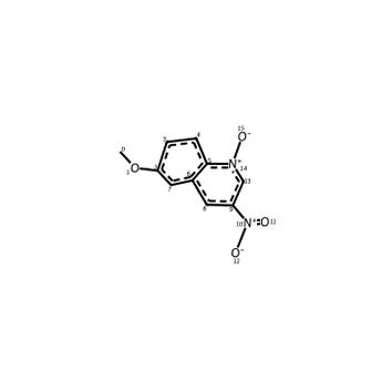 COc1ccc2c(c1)cc([N+](=O)[O-])c[n+]2[O-]